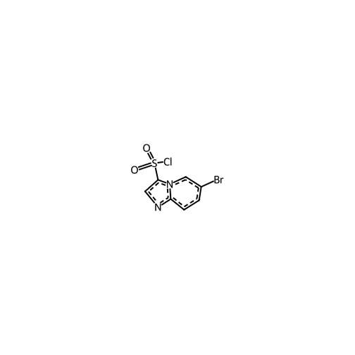 O=S(=O)(Cl)c1cnc2ccc(Br)cn12